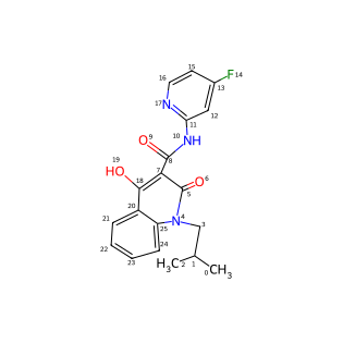 CC(C)Cn1c(=O)c(C(=O)Nc2cc(F)ccn2)c(O)c2ccccc21